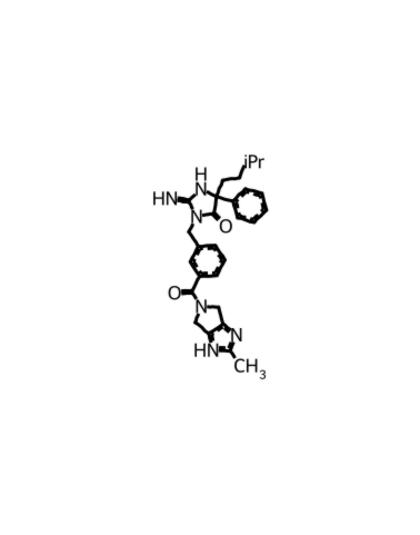 Cc1nc2c([nH]1)CN(C(=O)c1cccc(CN3C(=N)NC(CCC(C)C)(c4ccccc4)C3=O)c1)C2